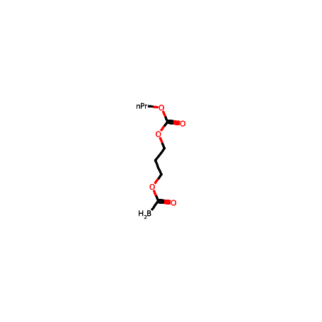 BC(=O)OCCCOC(=O)OCCC